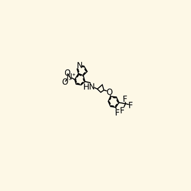 O=[N+]([O-])c1ccc(CNC2CC(Oc3ccc(F)c(C(F)(F)F)c3)C2)c2ccncc12